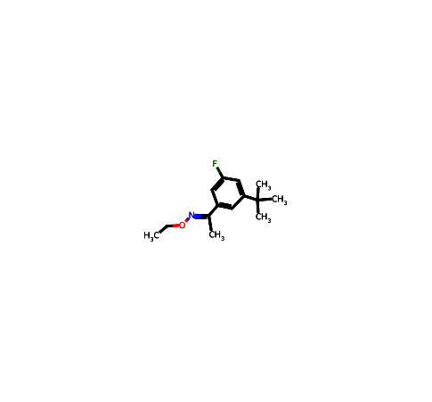 CCO/N=C(\C)c1cc(F)cc(C(C)(C)C)c1